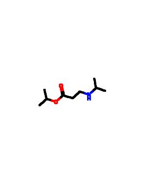 CC(C)NCCC(=O)OC(C)C